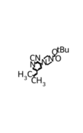 CC(C)=Cc1cnc(C#N)c(N2CCN(C(=O)OC(C)(C)C)CC2)c1